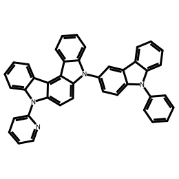 c1ccc(-n2c3ccccc3c3cc(-n4c5ccccc5c5c6c7ccccc7n(-c7ccccn7)c6ccc54)ccc32)cc1